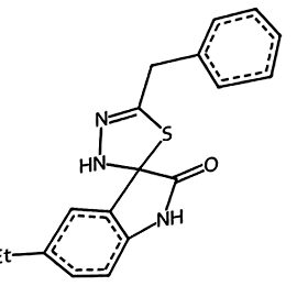 CCc1ccc2c(c1)C1(NN=C(Cc3ccccc3)S1)C(=O)N2